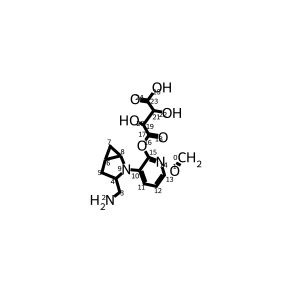 C=O.NCC1CC2CC2N1c1cccnc1OC(=O)C(O)C(O)C(=O)O